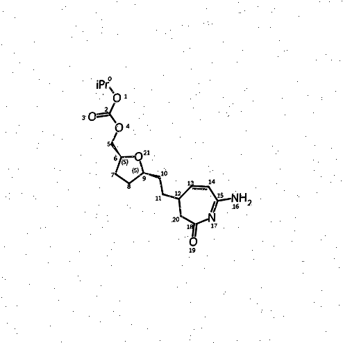 CC(C)OC(=O)OC[C@@H]1CC[C@H](CCC2C=CC(N)=NC(=O)C2)O1